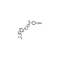 COc1ccc(C(=O)N2CC3(CCN(c4cnc5cnn(CC(F)F)c5n4)C3)C2)cc1